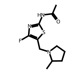 CC(=O)Nc1nc(F)c(CN2CCCC2C)s1